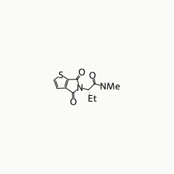 CC[C@@H](C(=O)NC)N1C(=O)c2ccsc2C1=O